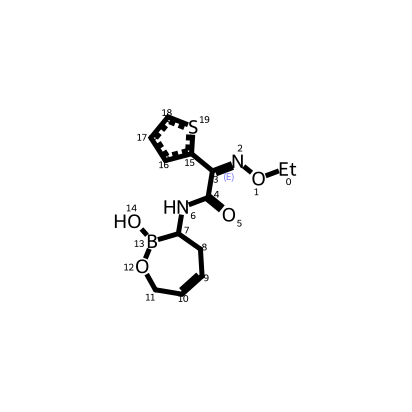 CCO/N=C(\C(=O)NC1CC=CCOB1O)c1cccs1